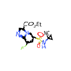 CCOC(=O)c1cnc2c(F)cc(S(=O)(=O)NC3(C#N)CC3)cn12